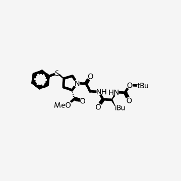 CC[C@H](C)[C@H](NC(=O)OC(C)(C)C)C(=O)NCC(=O)N1C[C@H](Sc2ccccc2)C[C@H]1C(=O)OC